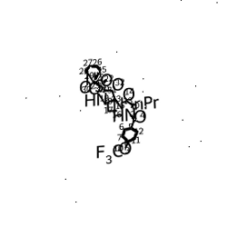 CCCC(NC(=O)c1ccc(OC(F)(F)F)cc1)C(=O)N1CCC2NC(S(=O)(=O)c3cccc[n+]3[O-])C(=O)C21